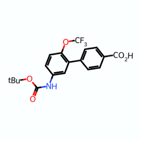 CC(C)(C)OC(=O)Nc1ccc(OC(F)(F)F)c(-c2ccc(C(=O)O)cc2)c1